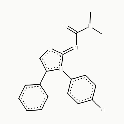 CN(C)C(=O)N=c1scc(-c2ccccc2)n1-c1ccc(Cl)cc1